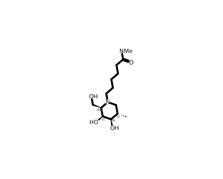 CNC(=O)CCCCCN1C[C@H](C)[C@@H](O)[C@@H](O)[C@H]1CO